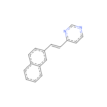 C(=Cc1ccncn1)c1ccc2ccccc2c1